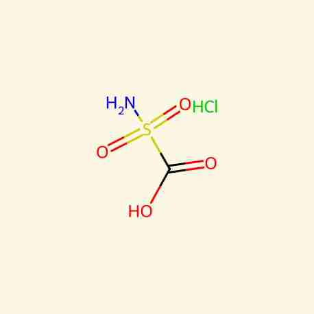 Cl.NS(=O)(=O)C(=O)O